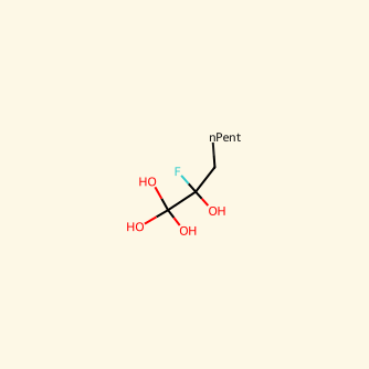 CCCCCCC(O)(F)C(O)(O)O